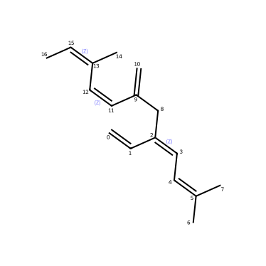 C=C/C(=C\C=C(C)C)CC(=C)/C=C\C(C)=C/C